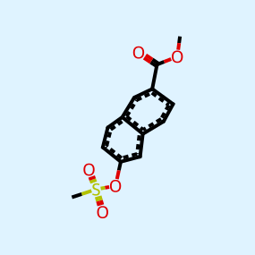 COC(=O)c1ccc2cc(OS(C)(=O)=O)ccc2c1